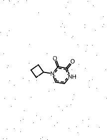 O=c1[nH]ccn(C2CCC2)c1=O